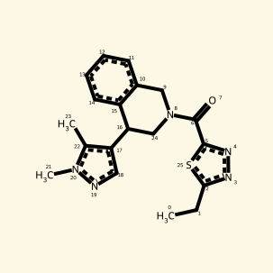 CCc1nnc(C(=O)N2Cc3ccccc3C(c3cnn(C)c3C)C2)s1